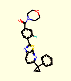 O=C(c1ccc(-c2nc3ccc(C4(c5ccccc5)C=C4)nc3s2)c(F)c1)N1CCOCC1